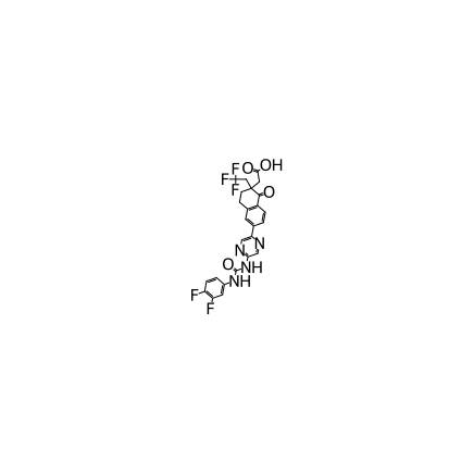 O=C(O)CC1(CC(F)(F)F)CCc2cc(-c3cnc(NC(=O)Nc4ccc(F)c(F)c4)cn3)ccc2C1=O